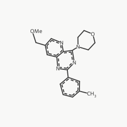 COCc1cnc2c(N3CCOCC3)nc(-c3cccc(C)c3)nc2c1